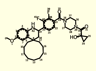 COc1ccc2c(c1)C1(CCCCCCCCC1)CC(c1ccc(C(=O)N3CCN(C(=O)C4(O)CC4)CC3)c(F)c1F)N2